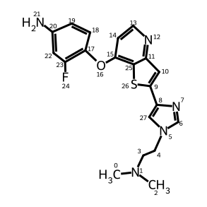 CN(C)CCn1cnc(-c2cc3nccc(Oc4ccc(N)cc4F)c3s2)c1